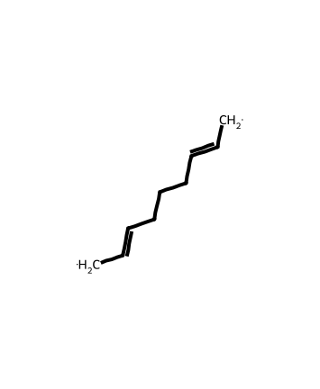 [CH2]/C=C/CCC/C=C/[CH2]